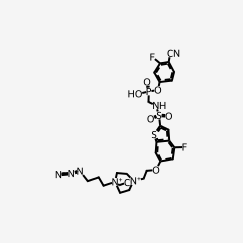 N#Cc1ccc(OP(=O)(O)CNS(=O)(=O)c2cc3c(F)cc(OCC[N+]45CC[N+](CCCN=[N+]=[N-])(CC4)CC5)cc3s2)cc1F